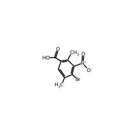 Cc1cc(C(=O)O)c(C)c([N+](=O)[O-])c1Br